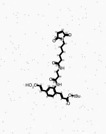 CC(C)(C)OC(=O)C=Cc1ccc(C=CC(=O)O)cc1NC(=O)CCNC(=O)CCCCCN1C(=O)C=CC1=O